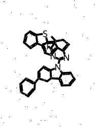 CC1C/C=C(c2ccc3c(c2)sc2ccccc23)/N=C(N2C3=CC=C(c4ccccc4)CC3c3ccccc32)\N=C/1Cl